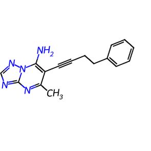 Cc1nc2ncnn2c(N)c1C#CCCc1ccccc1